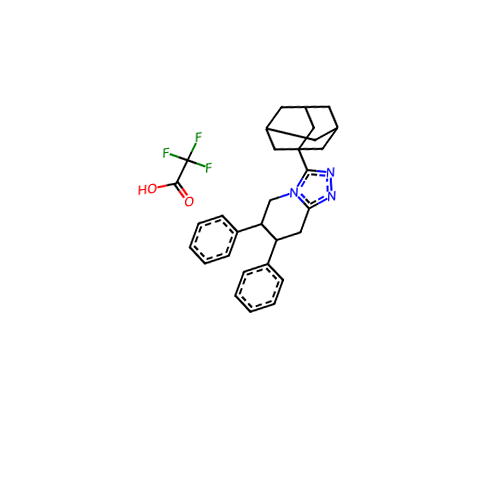 O=C(O)C(F)(F)F.c1ccc(C2Cc3nnc(C45CC6CC(CC(C6)C4)C5)n3CC2c2ccccc2)cc1